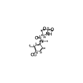 Cc1cc(N(C)C(=O)[C@@H]2COC(=O)N2)ccc1Cl